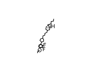 CCCCC[SiH]1CCC(CCCCC2CCC(c3ccc(OCC)c(F)c3F)CC2)CC1